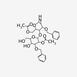 CC(=O)OCC1OC2NC2C(OCc2ccccc2)C1OC1OC(CO)C(O)C(OCc2ccccc2)C1OC(C)=O